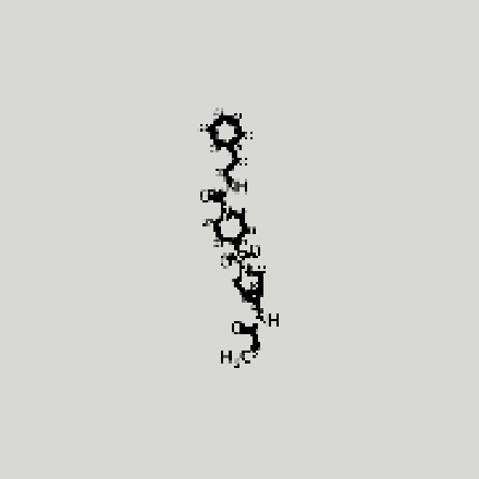 C=CC(=O)NC1C2CN(S(=O)(=O)C3CCN(C(=O)NCCc4ccccc4)CC3)CC21